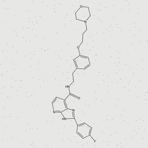 O=C(NCCc1cccc(OCCCN2CCOCC2)c1)c1ccnc2[nH]c(-c3ccc(F)cc3)nc12